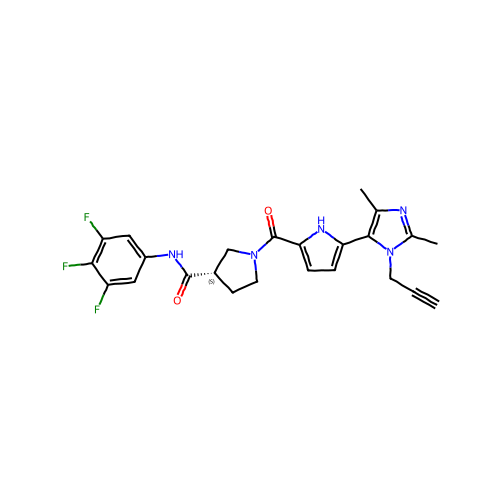 C#CCn1c(C)nc(C)c1-c1ccc(C(=O)N2CC[C@H](C(=O)Nc3cc(F)c(F)c(F)c3)C2)[nH]1